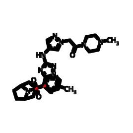 Cc1ncc(S(=O)(=O)N2C3CCC2CN(c2cccn4nc(Nc5cnn(CC(=O)N6CCN(C)CC6)c5)nc24)C3)s1